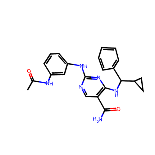 CC(=O)Nc1cccc(Nc2ncc(C(N)=O)c(NC(c3ccccc3)C3CC3)n2)c1